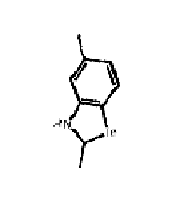 Cc1ccc2c(c1)NC(C)[Te]2